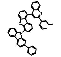 C/C=C\C(=C/CC)c1cc(-c2cccc3oc4c(-n5c6ccccc6c6ccc(-c7ccccc7)cc65)cccc4c23)c2ccccc2n1